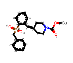 CC(C)(C)OC(=O)N1CCC(=Cc2ccccc2S(=O)(=O)Cc2ccccc2)CC1